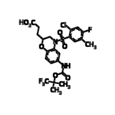 Cc1cc(S(=O)(=O)N2CC(CCC(=O)O)Oc3ccc(NC(=O)OC(C)(C)C(F)(F)F)cc32)c(Cl)cc1F